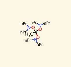 CCCN(CCC)O[Si](C)(ON(CCC)CCC)ON(CCC)CCC